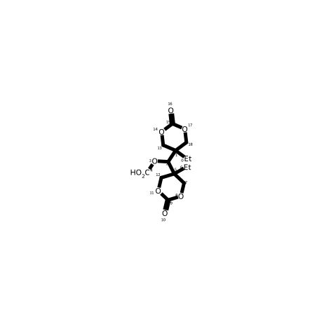 CCC1(C(OC(=O)O)C2(CC)COC(=O)OC2)COC(=O)OC1